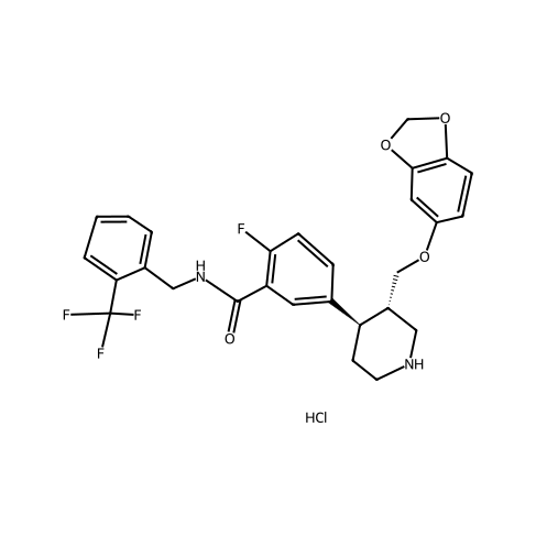 Cl.O=C(NCc1ccccc1C(F)(F)F)c1cc([C@@H]2CCNC[C@H]2COc2ccc3c(c2)OCO3)ccc1F